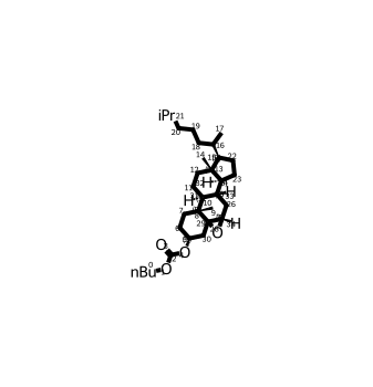 CCCCOC(=O)O[C@H]1CC[C@]2(C)[C@H]3CC[C@]4(C)[C@@H](C(C)CCCC(C)C)CC[C@H]4[C@@H]3C[C@@H]3OC32C1